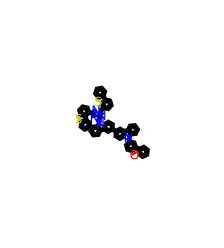 C1=c2c(n(-c3nc(-c4cccc5c4sc4ccccc45)nc(-c4cccc5sc6ccccc6c45)n3)c3ccccc23)=CCC1c1ccc2c(c1)c1ccccc1n2-c1ccc2oc3ccccc3c2c1